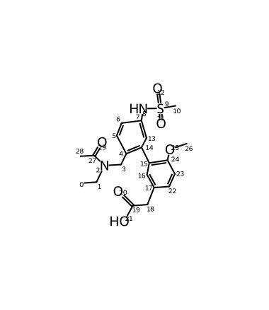 CCN(Cc1ccc(NS(C)(=O)=O)cc1-c1cc(CC(=O)O)ccc1OC)C(C)=O